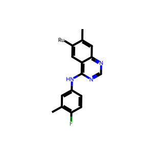 Cc1cc(Nc2ncnc3cc(C)[c]([Ru])cc23)ccc1F